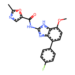 COc1ccc(-c2ccc(F)cc2)c2nc(NC(=O)c3cnc(C)o3)[nH]c12